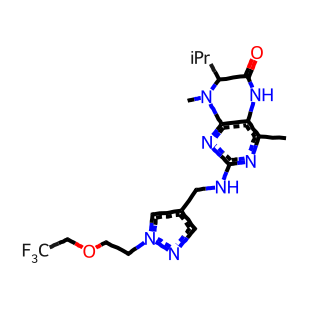 Cc1nc(NCc2cnn(CCOCC(F)(F)F)c2)nc2c1NC(=O)C(C(C)C)N2C